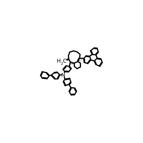 C=C1CCCCC/C(c2ccc3c4ccccc4c4ccccc4c3c2)=C2/CCCC/C2=C/1c1ccc(N(c2ccc(-c3ccccc3)cc2)c2ccc(-c3ccccc3)cc2)cc1